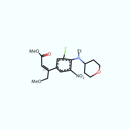 CCN(c1c(F)cc(/C(=C\C(=O)OC)COC)cc1[N+](=O)[O-])C1CCOCC1